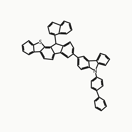 c1ccc(-c2ccc(-n3c4ccccc4c4cc(-c5ccc6c(c5)-c5ccc7c(sc8ccccc87)c5C6c5cccc6ccccc56)ccc43)cc2)cc1